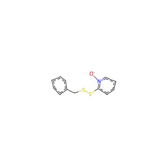 [O-][n+]1ccccc1SSCc1ccccc1